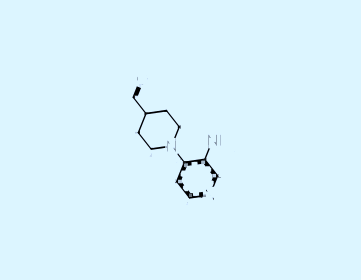 Nc1cnccc1N1CCC(C=O)CC1